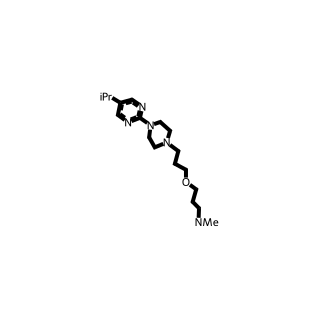 CNCCCOCCCN1CCN(c2ncc(C(C)C)cn2)CC1